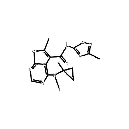 Cc1noc(NC(=O)c2c(C)oc3ncnc(N(I)C4(C)CC4)c23)n1